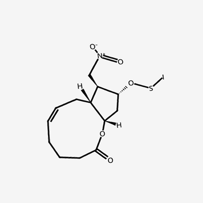 O=C1CCC/C=C\C[C@@H]2[C@@H](C[N+](=O)[O-])[C@H](OSI)C[C@@H]2O1